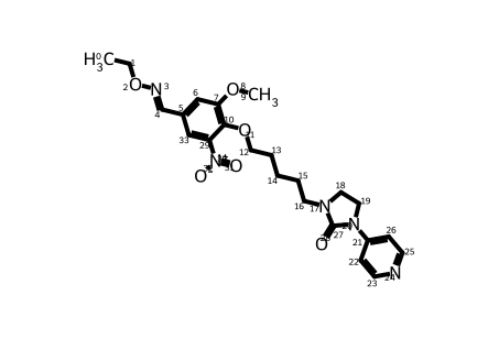 CCO/N=C/c1cc(OC)c(OCCCCCN2CCN(c3ccncc3)C2=O)c([N+](=O)[O-])c1